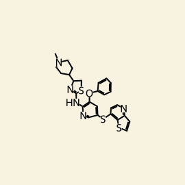 CN1CCC(C2CSC(Nc3ncc(Sc4ccnc5ccsc45)cc3Oc3ccccc3)=N2)CC1